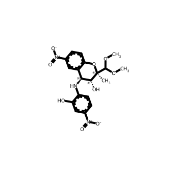 COC(OC)[C@]1(C)Oc2ccc([N+](=O)[O-])cc2[C@H](Nc2ccc([N+](=O)[O-])cc2O)[C@H]1O